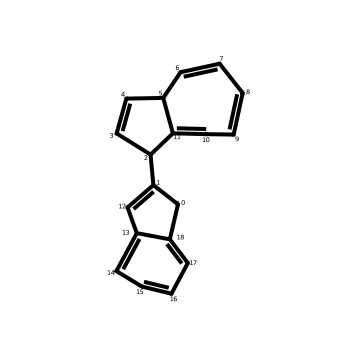 [CH]1C(C2C=CC3C=CC=CC=C32)=Cc2ccccc21